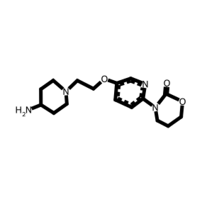 NC1CCN(CCOc2ccc(N3CCCOC3=O)nc2)CC1